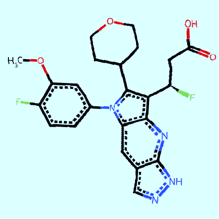 COc1cc(-n2c(C3CCOCC3)c([C@H](F)CC(=O)O)c3nc4[nH]ncc4cc32)ccc1F